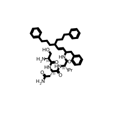 CC(C)[C@H](NC(=O)[C@H](CC(N)=O)NC(=O)[C@@H](N)CO)C(=O)NC(C=CC(CCCc1ccccc1)CCCc1ccccc1)Cc1ccccc1